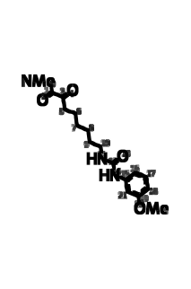 CNC(=O)C(=O)CCCCCCNC(=O)Nc1cccc(OC)c1